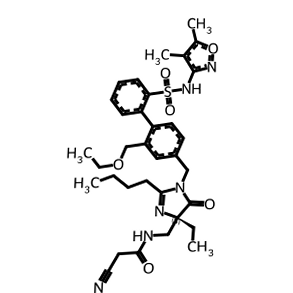 CCCCC1=N[C@@](CC)(CNC(=O)CC#N)C(=O)N1Cc1ccc(-c2ccccc2S(=O)(=O)Nc2noc(C)c2C)c(COCC)c1